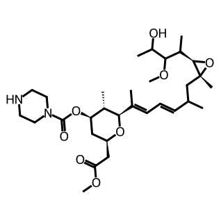 COC(=O)C[C@H]1C[C@@H](OC(=O)N2CCNCC2)[C@H](C)[C@@H](/C(C)=C/C=C/C(C)C[C@@]2(C)O[C@@H]2C(C)C(OC)C(C)O)O1